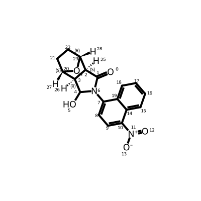 O=C1[C@H]2[C@@H](C(O)N1c1ccc([N+](=O)[O-])c3ccccc13)[C@@H]1CC[C@H]2O1